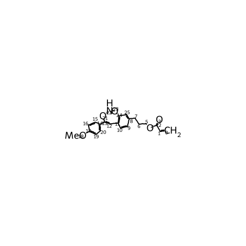 C=CC(=O)OCCCc1ccc2cc(-c3ccc(OC)cc3)o[nH]oc2c1